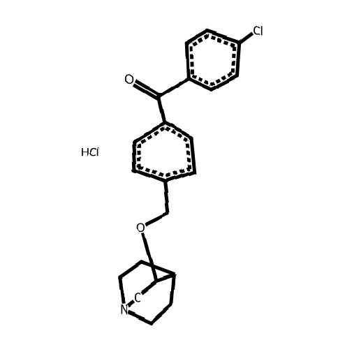 Cl.O=C(c1ccc(Cl)cc1)c1ccc(COC2CN3CCC2CC3)cc1